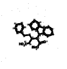 COC(=O)N(C1c2ccccc2-c2ccccc21)[C@H](CCc1ccccc1)CC(=O)O